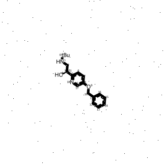 CC(C)(C)NC[C@H](O)c1ccc(OCc2ccccc2)cn1